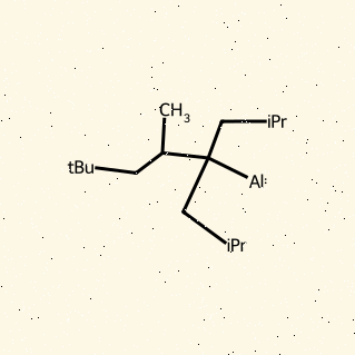 CC(C)C[C]([Al])(CC(C)C)C(C)CC(C)(C)C